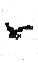 CCCC/C=C/c1ccc(C=CC(=O)c2ccc(OCC=C(C)C)cc2OCC(=O)O)cc1